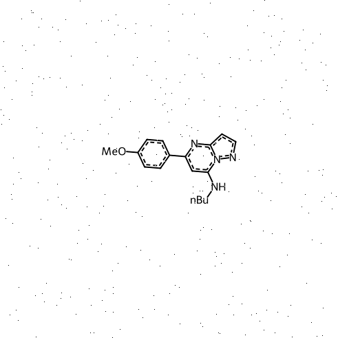 CCCCNc1cc(-c2ccc(OC)cc2)nc2ccnn12